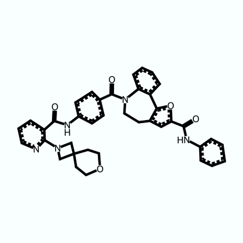 O=C(Nc1ccccc1)c1cc2c(o1)-c1ccccc1N(C(=O)c1ccc(NC(=O)c3cccnc3N3CC4(CCOCC4)C3)cc1)CC2